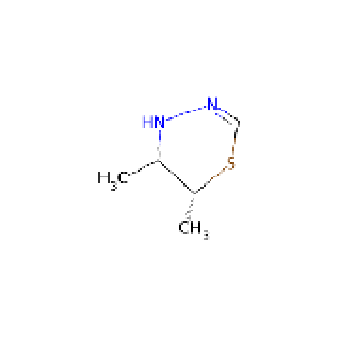 CC1NN=CS[C@@H]1C